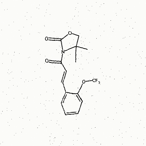 CC1(C)COC(=O)N1C(=O)C=Cc1ccccc1OC(F)(F)F